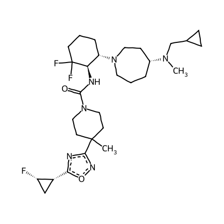 CN(CC1CC1)[C@@H]1CCCN([C@H]2CCCC(F)(F)[C@@H]2NC(=O)N2CCC(C)(c3noc([C@@H]4C[C@@H]4F)n3)CC2)CC1